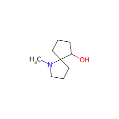 CN1CCCC12CCCC2O